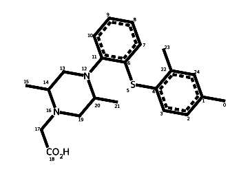 Cc1ccc(Sc2ccccc2N2CC(C)N(CC(=O)O)CC2C)c(C)c1